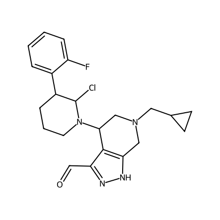 O=Cc1n[nH]c2c1C(N1CCCC(c3ccccc3F)C1Cl)CN(CC1CC1)C2